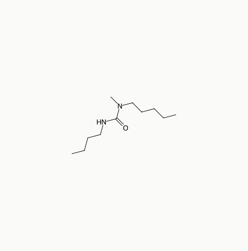 CCCCCN(C)C(=O)NCCCC